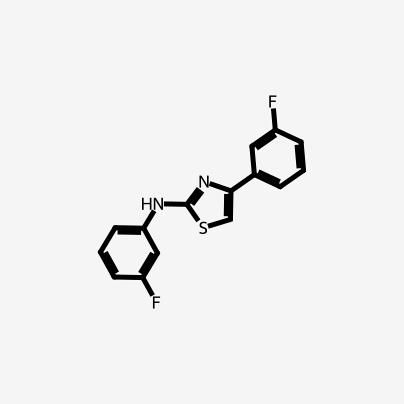 Fc1cccc(Nc2nc(-c3cccc(F)c3)cs2)c1